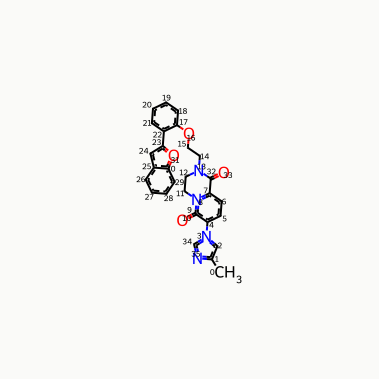 Cc1cn(-c2ccc3n(c2=O)CCN(CCOc2ccccc2-c2cc4ccccc4o2)C3=O)cn1